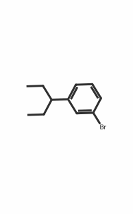 CCC(CC)c1cccc(Br)c1